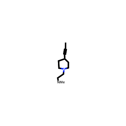 CC#CC1CCN(CCNC)CC1